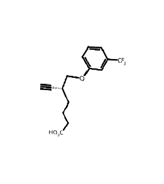 C#C[C@@H](CCCC(=O)O)COc1cccc(C(F)(F)F)c1